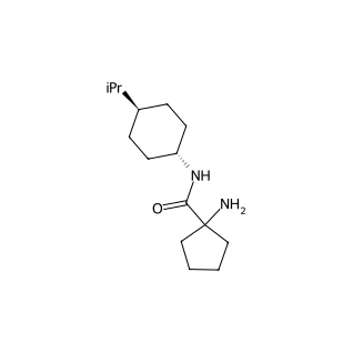 CC(C)[C@H]1CC[C@H](NC(=O)C2(N)CCCC2)CC1